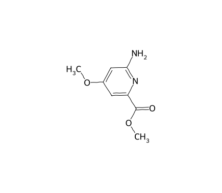 COC(=O)c1cc(OC)cc(N)n1